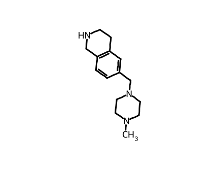 CN1CCN(Cc2ccc3c(c2)CCNC3)CC1